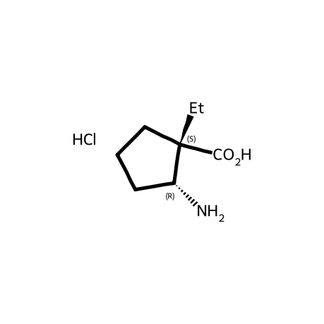 CC[C@]1(C(=O)O)CCC[C@H]1N.Cl